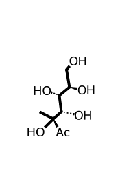 CC(=O)[C@](C)(O)[C@@H](O)[C@H](O)[C@H](O)CO